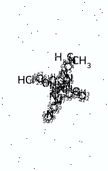 CN(C)C1CCC(n2cc(-c3ccc(Oc4ccccc4)cc3)c3c(NNc4ncnc5c4c(-c4ccc(Oc6ccccc6)cc4)cn5C4CCC(N5CCCCC5)CC4)ncnc32)CC1.Cl